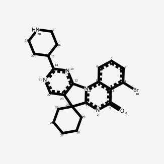 O=c1nc2n(c3cccc(Br)c13)-c1nc(C3CCNCC3)ncc1C21CCCCC1